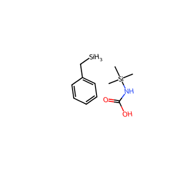 C[Si](C)(C)NC(=O)O.[SiH3]Cc1ccccc1